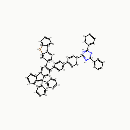 c1ccc(-c2nc(-c3ccccc3)nc(-c3ccc(-c4ccc(-c5cc6c(cc5-c5ccc7c(c5)sc5ccccc57)-c5ccccc5C6(c5ccccc5)c5ccccc5)cc4)cc3)n2)cc1